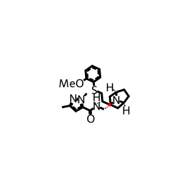 COc1ccccc1SC[C@@H](C)CN1[C@@H]2CC[C@H]1C[C@H](CNC(=O)c1cc(C)nn1C)C2